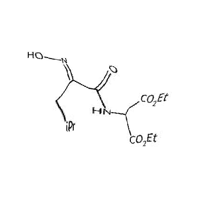 CCOC(=O)C(NC(=O)/C(CC(C)C)=N/O)C(=O)OCC